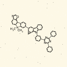 CC1(C)c2cc(-c3cc4c5ccccc5n(-c5cccc(-c6nc(-c7ccccc7)nc(-c7ccccc7)n6)c5)c4c4c3=C=4)ccc2-c2c1ccc1ncoc21